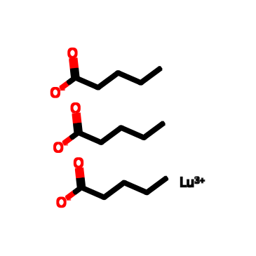 CCCCC(=O)[O-].CCCCC(=O)[O-].CCCCC(=O)[O-].[Lu+3]